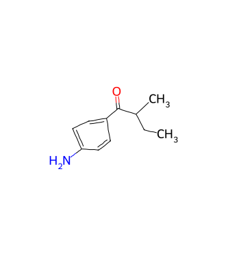 CCC(C)C(=O)c1ccc(N)cc1